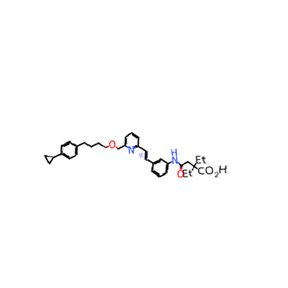 CCC(CC)(CC(=O)Nc1cccc(/C=C/c2cccc(COCCCCc3ccc(C4CC4)cc3)n2)c1)C(=O)O